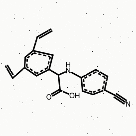 C=Cc1cc(C=C)cc(C(Nc2ccc(C#N)cc2)C(=O)O)c1